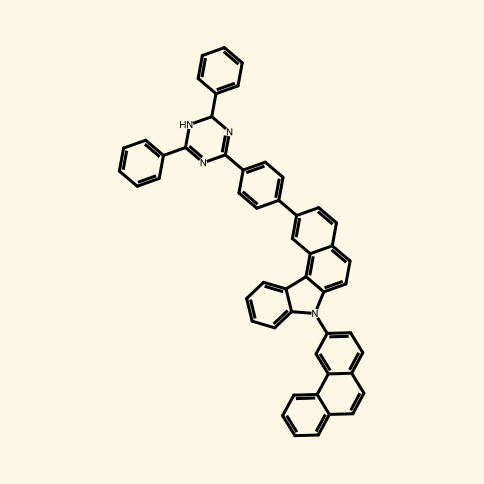 c1ccc(C2=NC(c3ccc(-c4ccc5ccc6c(c5c4)c4ccccc4n6-c4ccc5ccc6ccccc6c5c4)cc3)=NC(c3ccccc3)N2)cc1